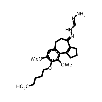 COc1cc2c(c(OC)c1OCCCCC(=O)O)C1=C(CCC1)C(=NNC=NN)CC2